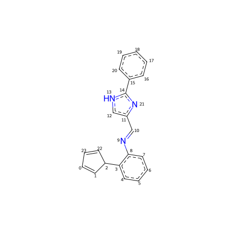 C1=CC(c2ccccc2/N=C/c2c[nH]c(-c3ccccc3)n2)C=C1